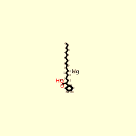 CCCCCCCCC=CCCCCCCC(C(=O)O)c1ccccc1.[Hg]